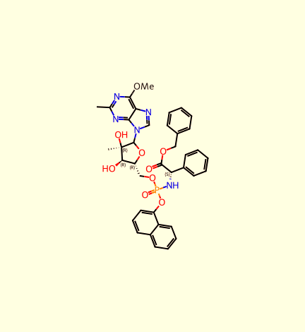 COc1nc(C)nc2c1ncn2C1O[C@H](COP(=O)(N[C@H](C(=O)OCc2ccccc2)c2ccccc2)Oc2cccc3ccccc23)[C@@H](O)[C@@]1(C)O